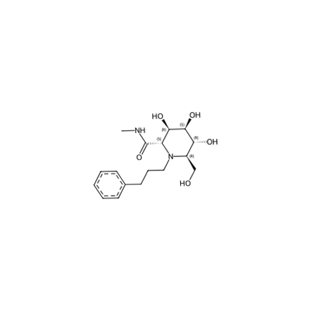 CNC(=O)[C@@H]1[C@@H](O)[C@@H](O)[C@H](O)[C@@H](CO)N1CCCc1ccccc1